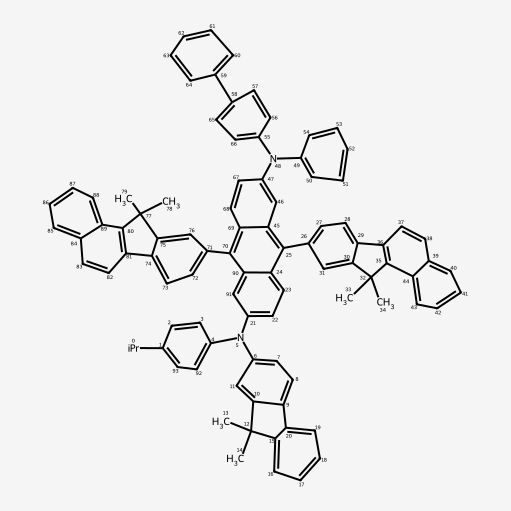 CC(C)c1ccc(N(c2ccc3c(c2)C(C)(C)c2ccccc2-3)c2ccc3c(-c4ccc5c(c4)C(C)(C)c4c-5ccc5ccccc45)c4cc(N(c5ccccc5)c5ccc(-c6ccccc6)cc5)ccc4c(-c4ccc5c(c4)C(C)(C)c4c-5ccc5ccccc45)c3c2)cc1